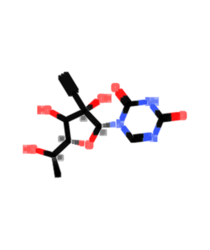 C#C[C@@]1(O)C(O)[C@@H]([C@@H](C)O)O[C@H]1n1cnc(=O)[nH]c1=O